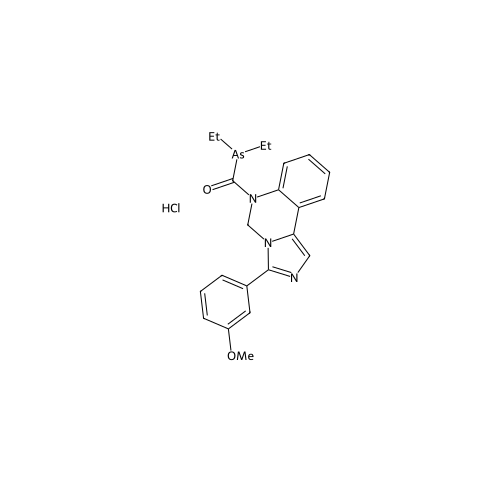 CC[As](CC)C(=O)N1Cn2c(cnc2-c2cccc(OC)c2)-c2ccccc21.Cl